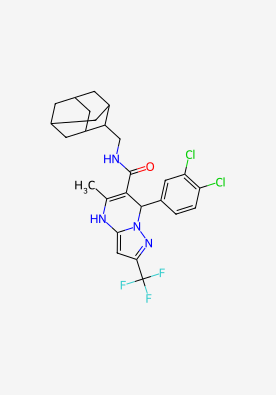 CC1=C(C(=O)NCC2C3CC4CC(C3)CC2C4)C(c2ccc(Cl)c(Cl)c2)n2nc(C(F)(F)F)cc2N1